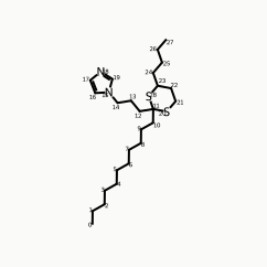 CCCCCCCCCCCC1(CCCn2ccnc2)SCCC(CCCC)S1